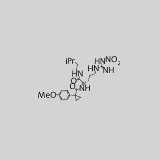 COc1ccc(C2(C(=O)N[C@@H](CCCNC(=N)N[N+](=O)[O-])C(=O)N[CH]CC(C)C)CC2)cc1